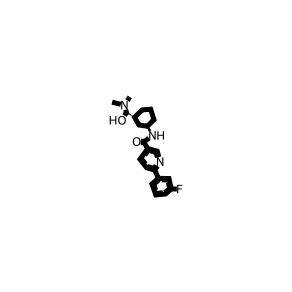 CN(C)C(O)[C@@H]1CCC[C@@H](NC(=O)c2ccc(-c3cccc(F)c3)nc2)C1